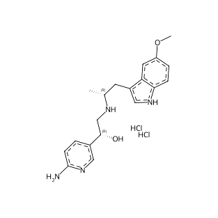 COc1ccc2[nH]cc(C[C@@H](C)NC[C@H](O)c3ccc(N)nc3)c2c1.Cl.Cl